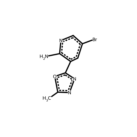 Cc1nnc(-c2cc(Br)cnc2N)o1